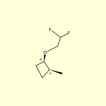 C[C@H]1CC[C@H]1OCC(F)F